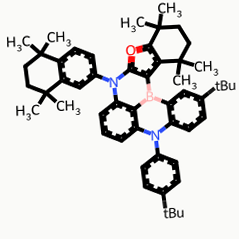 CC(C)(C)c1ccc(N2c3ccc(C(C)(C)C)cc3B3c4c2cccc4N(c2ccc4c(c2)C(C)(C)CCC4(C)C)c2oc4c(c23)C(C)(C)CCC4(C)C)cc1